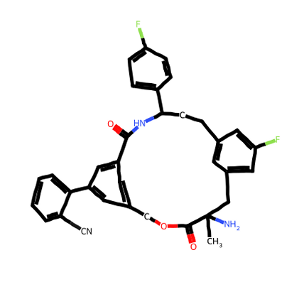 CC1(N)Cc2cc(F)cc(c2)CCC(c2ccc(F)cc2)NC(=O)c2cc(cc(-c3ccccc3C#N)c2)COC1=O